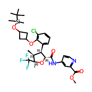 COC(=O)c1cc(NC(=O)[C@@H]2O[C@@](C)(C(F)(F)F)[C@@H](C)[C@H]2c2cccc(Cl)c2OC2CC(O[Si](C)(C)C(C)(C)C)C2)ccn1